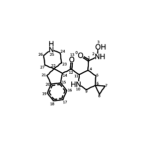 O=C(NO)C1CC2(CC2)CNC1C(=O)C1c2ccccc2CC12CCNCC2